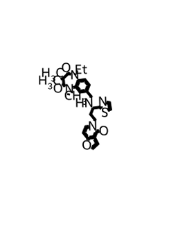 CCN1C(=O)C(C)(C)C(=O)N(C)c2cc(CNC(CCn3ccc4occc4c3=O)c3nccs3)ccc21